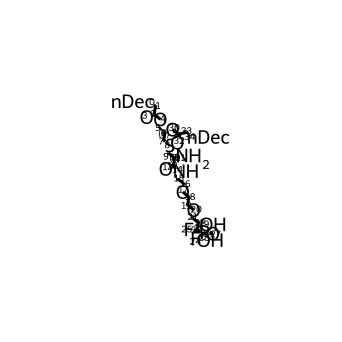 CCCCCCCCCCCC(=O)OC[C@H](CSC[C@H](N)C(=O)NCCOCCOCCC(F)(F)P(=O)(O)O)OC(=O)CCCCCCCCCCC